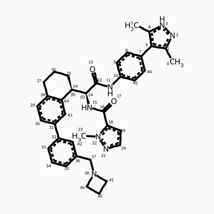 Cc1n[nH]c(C)c1-c1ccc(NC(=O)[C@@H](NC(=O)c2ccnn2C)[C@@H]2CCCc3ccc(-c4cccc(CN5CCC5)c4)cc32)cc1